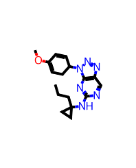 CCCC1(Nc2ncc3nnn(C4C=CC(OC)=CC4)c3n2)CC1